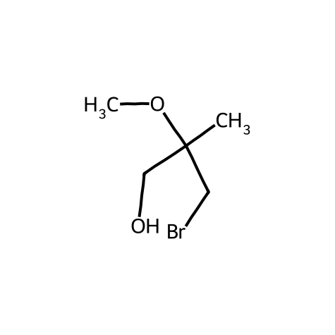 COC(C)(CO)CBr